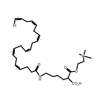 CC/C=C\C/C=C\C/C=C\C/C=C\C/C=C\C/C=C\CCC(=O)NCCCCC(C(=O)O)C(=O)OCC[Si](C)(C)C